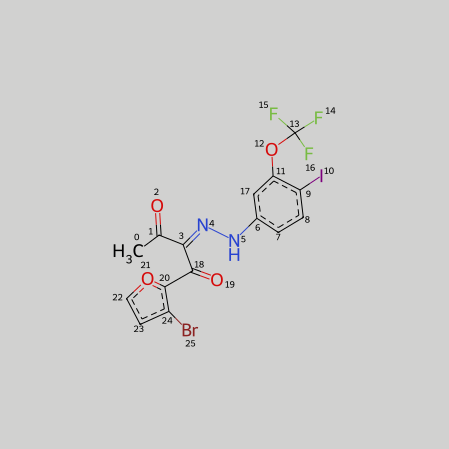 CC(=O)C(=NNc1ccc(I)c(OC(F)(F)F)c1)C(=O)c1occc1Br